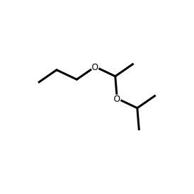 CCCOC(C)OC(C)C